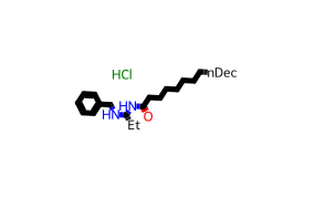 CCCCCCCCCCCCCCCCCC(=O)NC(CC)NCc1ccccc1.Cl